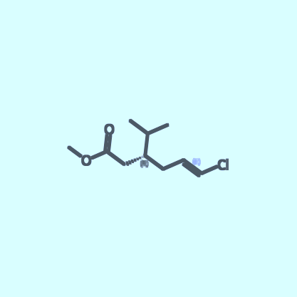 COC(=O)C[C@@H](C/C=C/Cl)C(C)C